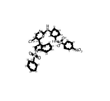 O=[N+]([O-])c1ccc(S(=O)(=O)Nc2cccc(Nc3ncc(Cl)c(-c4cn(S(=O)(=O)c5ccccc5)c5ccccc45)n3)c2)cc1